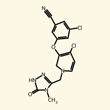 Cn1c(CN2C=CC(Cl)=C(Oc3cc(Cl)cc(C#N)c3)C2)n[nH]c1=O